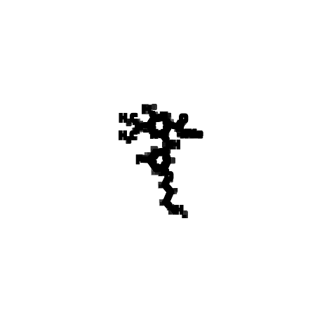 CCc1nc(C(=O)NC)c(Nc2cc(F)cc(OCCCN)c2)nc1N(C)C